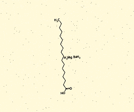 CCCCCCCCCCCCCCCCCC(=O)O.[BaH2].[MgH2]